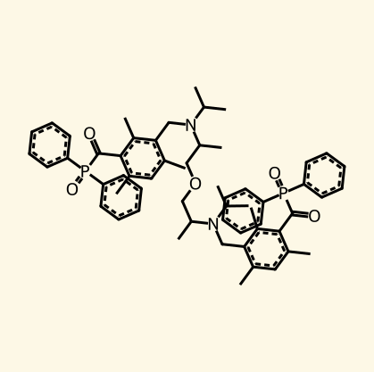 Cc1cc(C)c(C(=O)P(=O)(c2ccccc2)c2ccccc2)c(C)c1CN(C(C)C)C(C)COCC(C)N(Cc1c(C)cc(C)c(C(=O)P(=O)(c2ccccc2)c2ccccc2)c1C)C(C)C